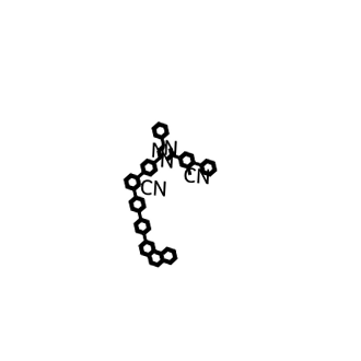 N#Cc1cc(-c2nc(-c3ccccc3)nc(-c3ccc(-c4cccc(-c5ccc(-c6ccc(-c7ccc8ccc9ccccc9c8c7)cc6)cc5)c4C#N)cc3)n2)ccc1-c1ccccc1